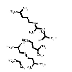 CC(C)C(N)C(=O)O.CSCCC(N)C(=O)O.N=C(N)NCCCC(N)C(=O)O.NC(CSSCC(N)C(=O)O)C(=O)O.NCC(=O)O